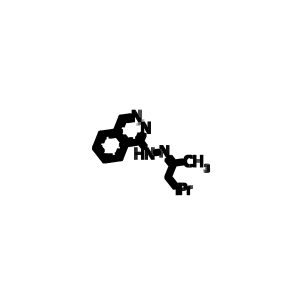 C/C(CC(C)C)=N/Nc1nncc2ccccc12